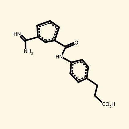 N=C(N)c1cccc(C(=O)Nc2ccc(CCC(=O)O)cc2)c1